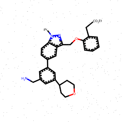 CCOC(=O)Cc1ccccc1OCc1nn(C(C)C)c2ccc(-c3cc(CN)cc(C4CCOCC4)c3)cc12